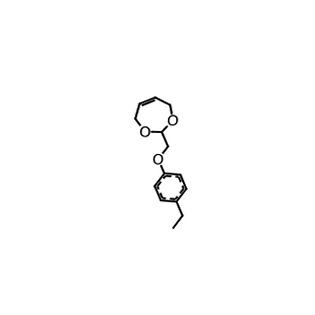 CCc1ccc(OCC2OCC=CCO2)cc1